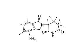 Cc1c(C)c(N)c2c(c1C)C(=O)N(C1(C)C(=O)NC(=O)C(C)(C)C1(C)C)C2